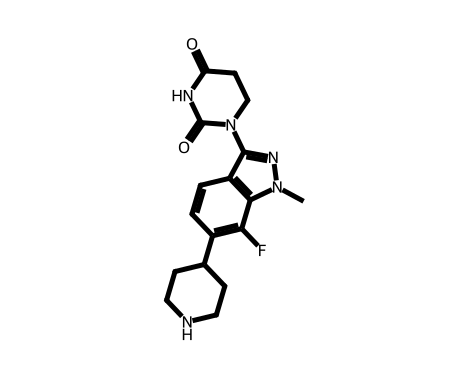 Cn1nc(N2CCC(=O)NC2=O)c2ccc(C3CCNCC3)c(F)c21